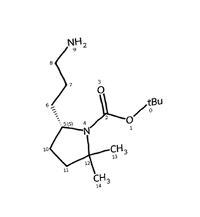 CC(C)(C)OC(=O)N1[C@@H](CCCN)CCC1(C)C